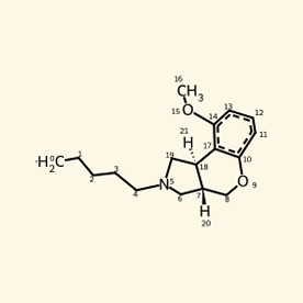 [CH2]CCCCN1C[C@H]2COc3cccc(OC)c3[C@@H]2C1